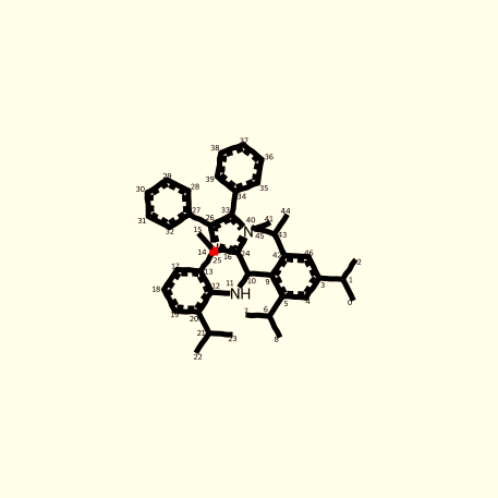 CC(C)c1cc(C(C)C)c(C(Nc2c(C(C)C)cccc2C(C)C)c2nc(-c3ccccc3)c(-c3ccccc3)n2C)c(C(C)C)c1